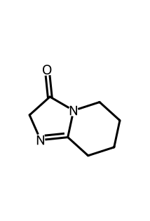 O=C1CN=C2CCCCN12